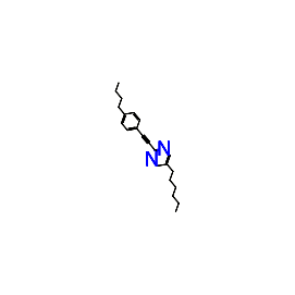 CCCCCCc1cnc(C#Cc2ccc(CCCC)cc2)nc1